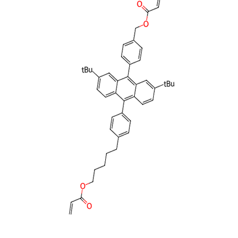 C=CC(=O)OCCCCCc1ccc(-c2c3ccc(C(C)(C)C)cc3c(-c3ccc(COC(=O)C=C)cc3)c3cc(C(C)(C)C)ccc23)cc1